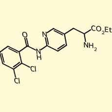 CCOC(=O)C(N)Cc1ccc(NC(=O)c2cccc(Cl)c2Cl)nc1